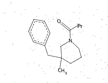 CC(C)C(=O)N1CCCC(C)(Cc2ccccc2)C1